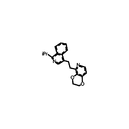 CC(C)c1ncc(CCc2nccc3c2OCCO3)c2ccccc12